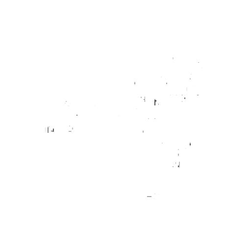 CC(C)(C)OC(=O)C1CC=C(c2nn(C(=O)c3c(Cl)cccc3C3(C(F)(F)F)CC3)c3c2CCC(C(=O)N2CCC(O)C2)C3)CC1